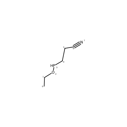 CCOPCCC#N